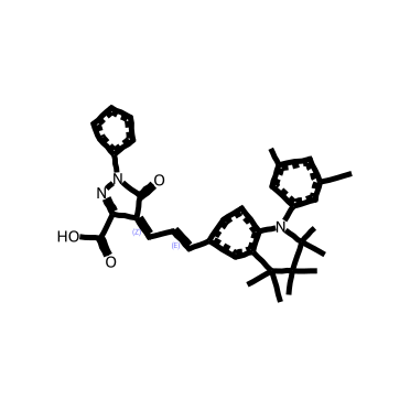 Cc1cc(C)cc(N2c3ccc(/C=C/C=C4\C(=O)N(c5ccccc5)N=C4C(=O)O)cc3C(C)(C)C(C)(C)C2(C)C)c1